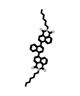 CCCCCCCN1C(=O)c2cccc3c(-c4ccc(-c5ccc6c7c(cccc57)C(=O)N(CCCCCCC)C6=O)c5ccccc45)ccc(c23)C1=O